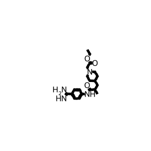 CCOC(=O)CN1CCC(CC(C)C(=O)Nc2ccc(C(=N)N)cc2)CC1